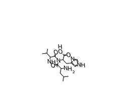 CC(C)CC(N)C(=O)N(C(=O)C(N)C(C)C)C(Cc1c[nH]cn1)C(=O)O